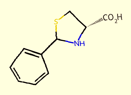 O=C(O)[C@H]1CSC(c2ccccc2)N1